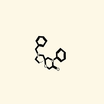 O=C1CO[C@]2(CCN(Cc3ccccc3)C2)CN1c1ccccc1